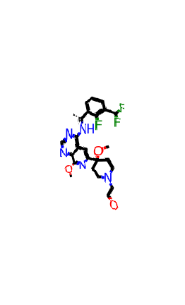 COc1nc(C2(OC)CCN(CC=O)CC2)cc2c(N[C@H](C)c3cccc(C(F)F)c3F)ncnc12